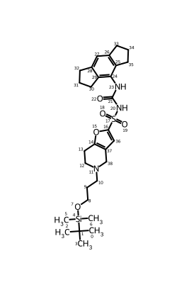 CC(C)(C)[Si](C)(C)OCCCN1CCc2oc(S(=O)(=O)NC(=O)Nc3c4c(cc5c3CCC5)CCC4)cc2C1